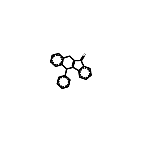 O=C1C2=C(c3ccccc31)C(c1ccccc1)c1ccccc1C2